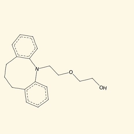 OCCOCCN1c2ccccc2CCCc2ccccc21